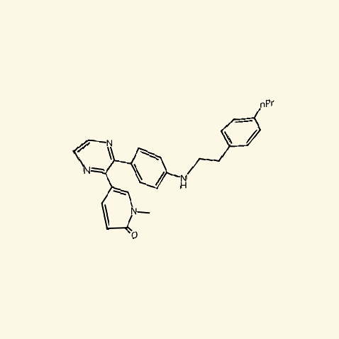 CCCc1ccc(CCNc2ccc(-c3nccnc3-c3ccc(=O)n(C)c3)cc2)cc1